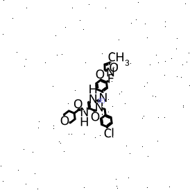 Cc1cc(Oc2ccc(/N=c3\[nH]cc(NC(=O)C4CCOCC4)c(=O)n3Cc3ccc(Cl)cc3)cc2F)no1